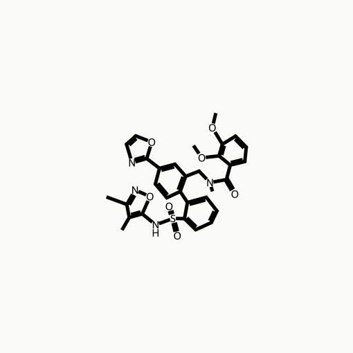 COc1cccc(C(=O)N(C)Cc2cc(-c3ncco3)ccc2-c2ccccc2S(=O)(=O)Nc2onc(C)c2C)c1OC